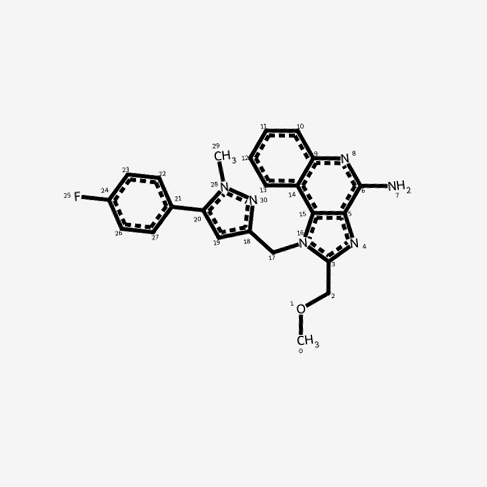 COCc1nc2c(N)nc3ccccc3c2n1Cc1cc(-c2ccc(F)cc2)n(C)n1